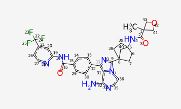 CC1(C(=O)NC23CCC(c4nc(-c5ccc(C(=O)Nc6cc(C(F)(F)F)ccn6)cc5)c5c(N)nccn45)(CC2)C3)COC1